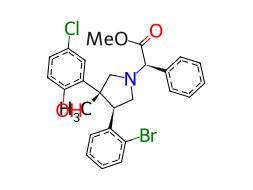 COC(=O)[C@@H](c1ccccc1)N1C[C@@H](c2ccccc2Br)[C@](C)(c2cc(Cl)ccc2O)C1